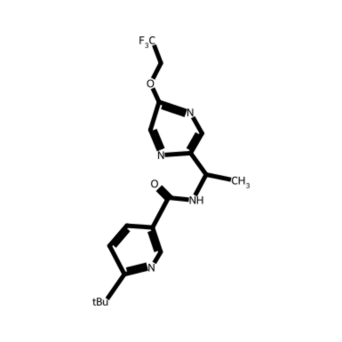 CC(NC(=O)c1ccc(C(C)(C)C)nc1)c1cnc(OCC(F)(F)F)cn1